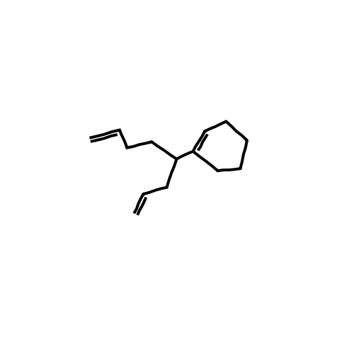 C=CCCC(CC=C)C1=CCCCC1